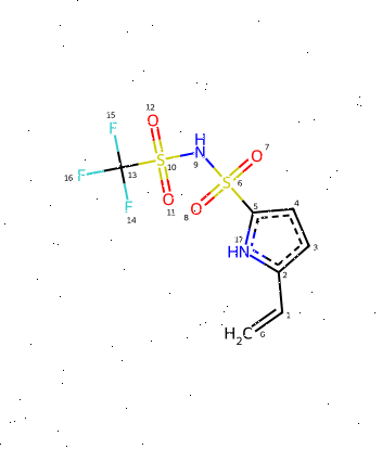 C=Cc1ccc(S(=O)(=O)NS(=O)(=O)C(F)(F)F)[nH]1